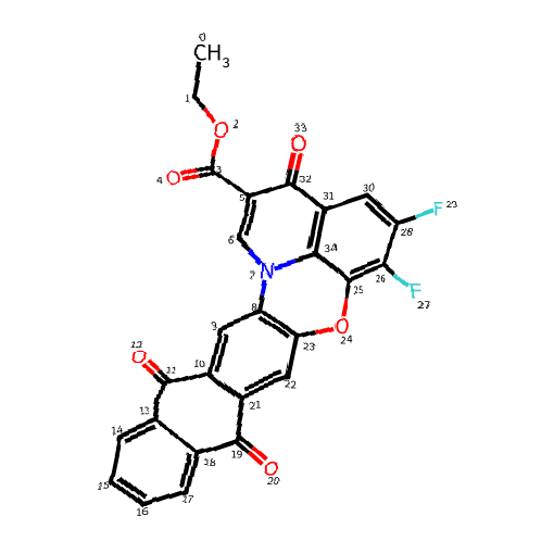 CCOC(=O)c1cn2c3cc4c(=O)c5ccccc5c(=O)c4cc3oc3c(F)c(F)cc(c1=O)c32